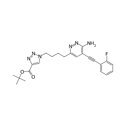 CC(C)(C)OC(=O)c1cn(CCCCc2cc(C#Cc3ccccc3F)c(N)nn2)nn1